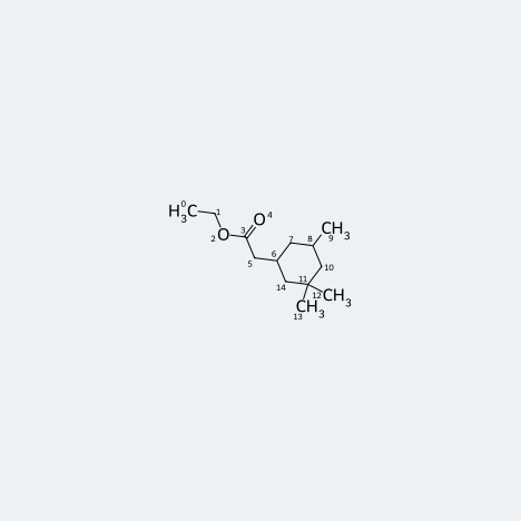 CCOC(=O)CC1CC(C)CC(C)(C)C1